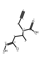 C#CCN(C(=O)O)C(C)CC(Cl)=NO